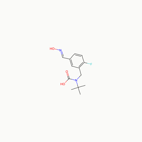 CC(C)(C)N(Cc1cc(C=NO)ccc1F)C(=O)O